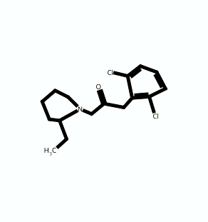 CCC1CCCCN1CC(=O)Cc1c(Cl)cccc1Cl